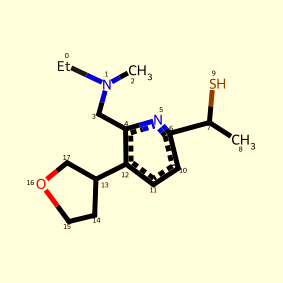 CCN(C)Cc1nc(C(C)S)ccc1C1CCOC1